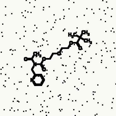 CC(=O)N(Cc1ccccn1)C(=O)OCCOCCOC(=O)C(C)(C)C